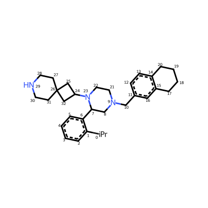 CC(C)c1ccccc1C1CN(Cc2ccc3c(c2)CCCC3)CCN1C1CC2(CCNCC2)C1